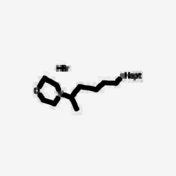 Br.CCCCCCCCCCCC(C)N1CCOCC1